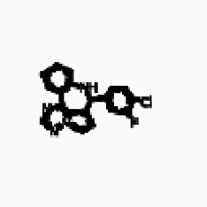 Fc1cc(C2Nc3ccccc3-c3ncnn4ccc2c34)ccc1Cl